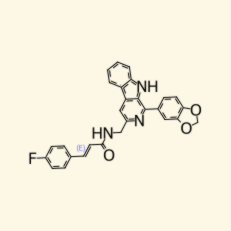 O=C(/C=C/c1ccc(F)cc1)NCc1cc2c([nH]c3ccccc32)c(-c2ccc3c(c2)OCO3)n1